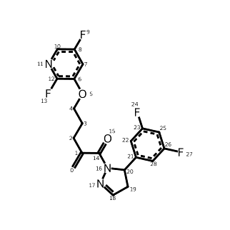 C=C(CCCOc1cc(F)cnc1F)C(=O)N1N=CCC1c1cc(F)cc(F)c1